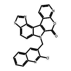 O=c1oc2ncccc2c2c3c4ncsc4ccc3n(Cc3cc4ccccc4nc3Cl)c12